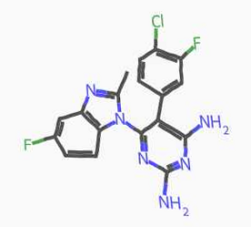 Cc1nc2cc(F)ccc2n1-c1nc(N)nc(N)c1-c1ccc(Cl)c(F)c1